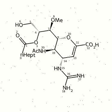 CCCCCCCC(=O)O[C@H](CO)[C@@H](OC)[C@@H]1OC(C(=O)O)=C[C@H](NC(=N)N)[C@H]1NC(C)=O